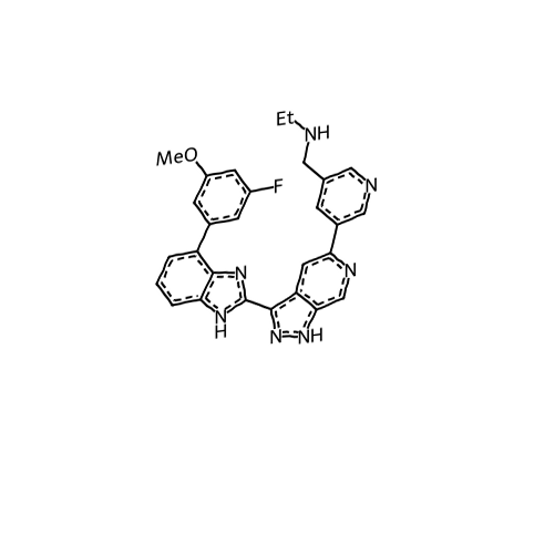 CCNCc1cncc(-c2cc3c(-c4nc5c(-c6cc(F)cc(OC)c6)cccc5[nH]4)n[nH]c3cn2)c1